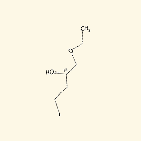 CCOC[C@@H](O)CCI